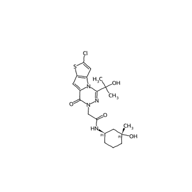 CC(C)(O)c1nn(CC(=O)N[C@@H]2CCC[C@@](C)(O)C2)c(=O)c2cc3sc(Cl)cc3n12